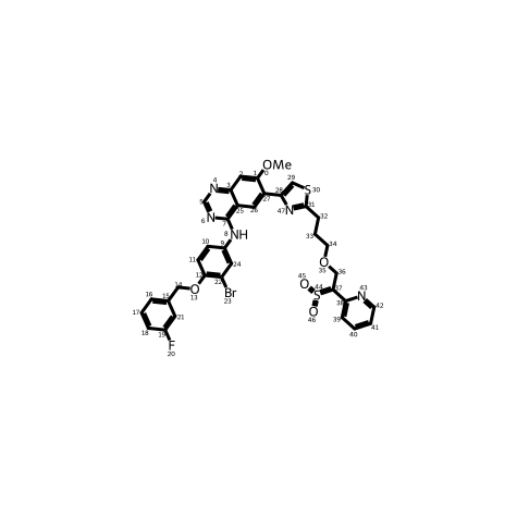 COc1cc2ncnc(Nc3ccc(OCc4cccc(F)c4)c(Br)c3)c2cc1-c1csc(CCCOCC(c2ccccn2)=S(=O)=O)n1